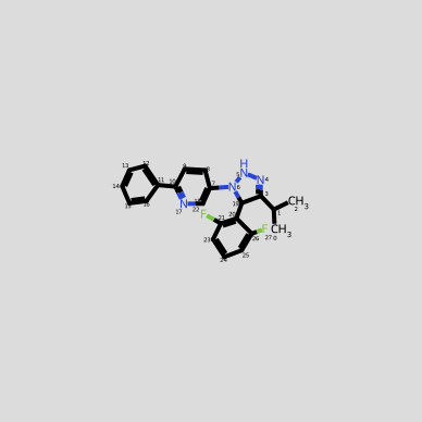 CC(C)C1=NNN(c2ccc(-c3ccccc3)nc2)C1c1c(F)cccc1F